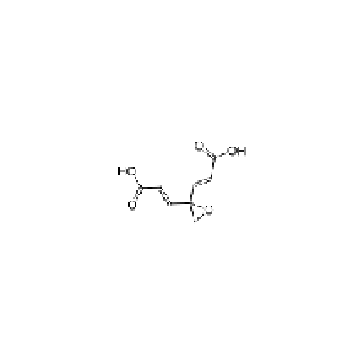 O=C(O)C=CC1(C=CC(=O)O)CO1